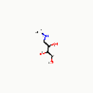 O=CNCC(O)C(O)CO